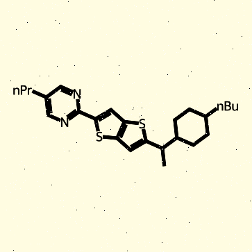 CCCCC1CCC(C(C)c2cc3sc(-c4ncc(CCC)cn4)cc3s2)CC1